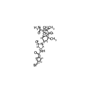 Cc1cc(N2CC(NC(=O)c3ccc(Br)s3)CC2=O)ccc1C(=O)N(C)C(C)(C)C(N)=O